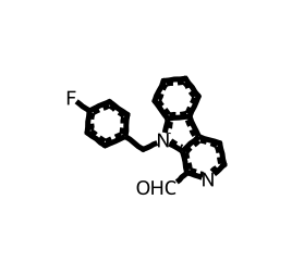 O=Cc1nccc2c3ccccc3n(Cc3ccc(F)cc3)c12